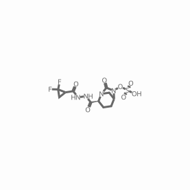 O=C(NNC(=O)[C@@H]1CCC2CN1C(=O)N2OS(=O)(=O)O)C1CC1(F)F